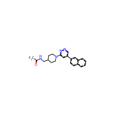 O=C(NCC1CCN(c2cc(-c3ccc4ccccc4c3)cnn2)CC1)C(F)(F)F